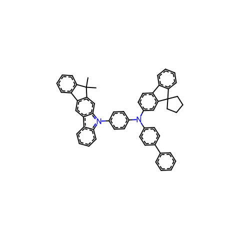 CC1(C)c2ccccc2-c2cc3c4ccccc4n(-c4ccc(N(c5ccc(-c6ccccc6)cc5)c5ccc6c(c5)C5(CCCC5)c5ccccc5-6)cc4)c3cc21